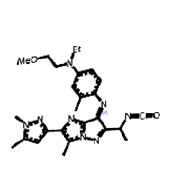 CCN(CCOC)c1ccc(/N=C2/C(C(C)N=C=O)=Nn3c2nc(-c2cc(C)n(C)n2)c3C)c(C)c1